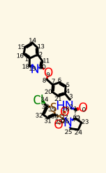 O=C(NCc1ccc(COc2cc3ccccc3cn2)cc1)[C@@H]1CCCN1S(=O)(=O)c1ccc(Cl)s1